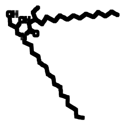 CCCCCCCCCCCCCCCCN(CC(O)CO)C(=O)CC(CC)CCCCCCCCCCCCC